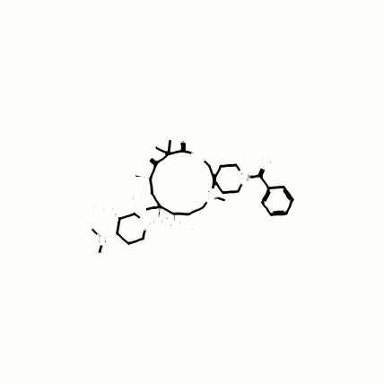 CO[C@]1(C)C[C@@H](C)CN(C)C2(CCN(C(=O)c3ccccc3)CC2)COC(=O)C(C)(C)C(=O)[C@H](C)[C@H]1O[C@@H]1O[C@H](C)C[C@H](N(C)C)[C@H]1O